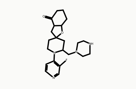 O=C1CCCC2OC3(CCN(c4ccncc4F)C(CN4CCNCC4)C3)CC12